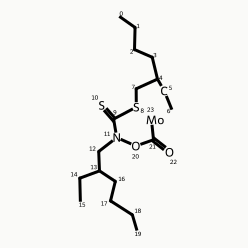 CCCCC(CC)CSC(=S)N(CC(CC)CCCC)O[C](=O)[Mo]